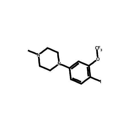 CN1CCN(c2ccc(I)c(OC(F)(F)F)c2)CC1